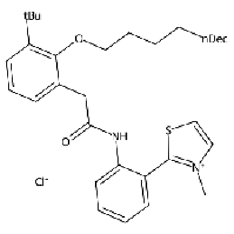 CCCCCCCCCCCCCCOc1c(CC(=O)Nc2ccccc2-c2scc[n+]2C)cccc1C(C)(C)C.[Cl-]